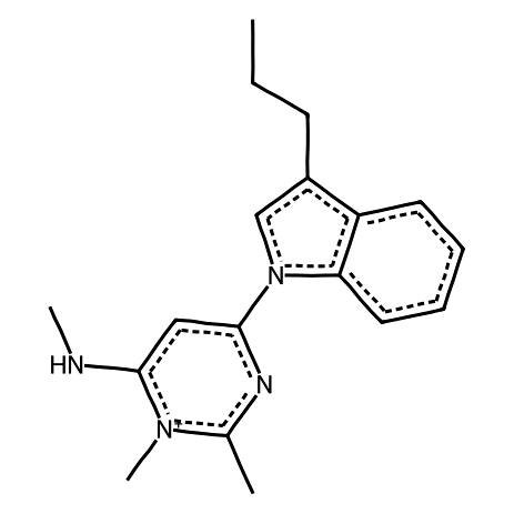 CCCc1cn(-c2cc(NC)[n+](C)c(C)n2)c2ccccc12